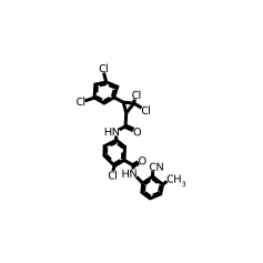 Cc1cccc(NC(=O)c2cc(NC(=O)C3C(c4cc(Cl)cc(Cl)c4)C3(Cl)Cl)ccc2Cl)c1C#N